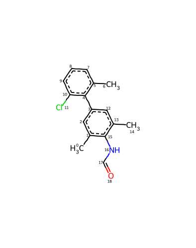 Cc1cc(-c2c(C)cccc2Cl)cc(C)c1NC=O